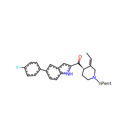 C/C=C1/CN(CCCCC)CC[C@H]1C(=O)c1cc2cc(-c3ccc(F)cc3)ccc2[nH]1